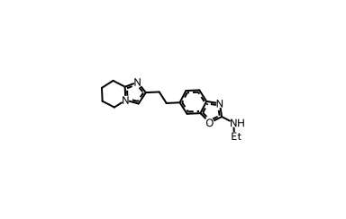 CCNc1nc2ccc(CCc3cn4c(n3)CCCC4)cc2o1